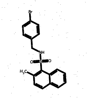 Cc1ccc2ccccc2c1S(=O)(=O)NCc1ccc(Br)cc1